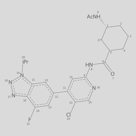 CC(=O)N[C@@H]1CCCC(C(=O)Nc2cc(-c3cc(F)c4nnn(C(C)C)c4c3)c(Cl)cn2)C1